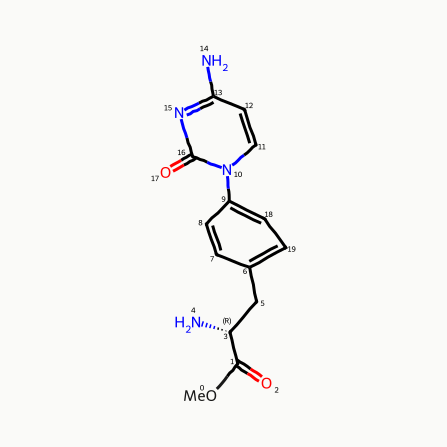 COC(=O)[C@H](N)Cc1ccc(-n2ccc(N)nc2=O)cc1